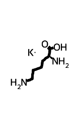 NCCCC[C@H](N)C(=O)O.[K]